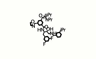 CCCN(CCC)C(=O)c1cc(C(=O)NC(Cc2cc(F)cc(F)c2)C(O)CNCc2cccc(C(C)C)c2)cc(-c2ncco2)c1